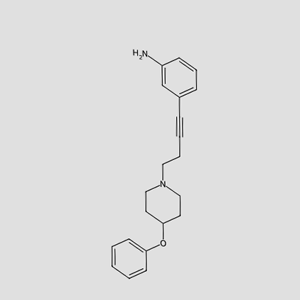 Nc1cccc(C#CCCN2CCC(Oc3ccccc3)CC2)c1